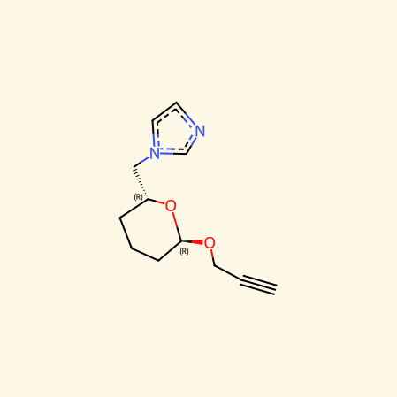 C#CCO[C@H]1CCC[C@H](Cn2ccnc2)O1